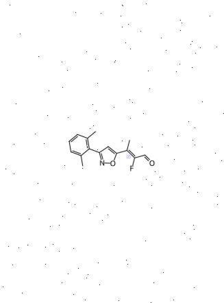 C/C(=C(/F)C=O)c1cc(-c2c(C)cccc2C)no1